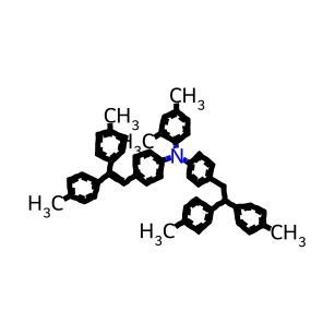 Cc1ccc(C(=Cc2ccc(N(c3ccc(CC(c4ccc(C)cc4)c4ccc(C)cc4)cc3)c3ccc(C)cc3C)cc2)c2ccc(C)cc2)cc1